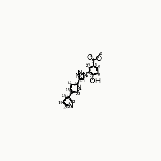 COC(=O)c1ccc(O)c(-n2cc(-c3ccc(-c4cccnc4)cn3)nn2)c1